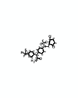 CS(=O)(=O)N(Cc1cc(Cl)ccc1Cl)c1ccc(C(C(N)=O)c2ccc(C(F)(F)F)nc2)cc1